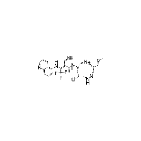 C=C(NC1=C/C(Cl)=C/N/N=C\C(COC)=N/N=C\1)/C(C=N)=C(/Nc1cccc2ncccc12)C(F)(F)F